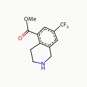 COC(=O)c1cc(C(F)(F)F)cc2c1CCNC2